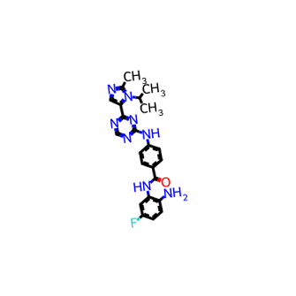 Cc1ncc(-c2ncnc(Nc3ccc(C(=O)Nc4cc(F)ccc4N)cc3)n2)n1C(C)C